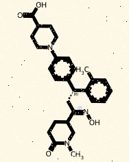 Cc1ccccc1[C@H](C/C(=N/O)C1CCC(=O)N(C)C1)c1ccc(N2CCC(C(=O)O)CC2)cc1